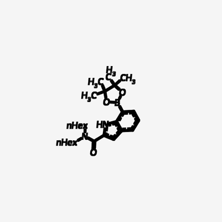 CCCCCCN(CCCCCC)C(=O)c1cc2cccc(B3OC(C)(C)C(C)(C)O3)c2[nH]1